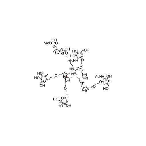 COP(=O)(O)OC[C@H]1OCC[C@H]1OP(=O)(O)OCCCCCCNC(=O)[C@H](CCCCN(Cc1cn(CCOCCO[C@@H]2O[C@H](CO)[C@H](C)[C@H](O)[C@H]2NC(C)=O)nn1)Cc1cn(CCOCCO[C@@H]2O[C@H](CO)[C@H](O)[C@H](O)[C@H]2NC(C)=O)nn1)N(Cc1cn(CCOCCC[C@@H]2O[C@H](CO)[C@H](O)[C@H](O)[C@H]2C)nn1)Cc1cn(CCOCCO[C@@H]2O[C@H](CO)[C@H](O)[C@H](O)[C@H]2C)nn1